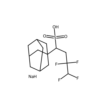 O=S(=O)(O)C(CC(F)(F)C(F)F)C12CC3CC(CC(C3)C1)C2.[NaH]